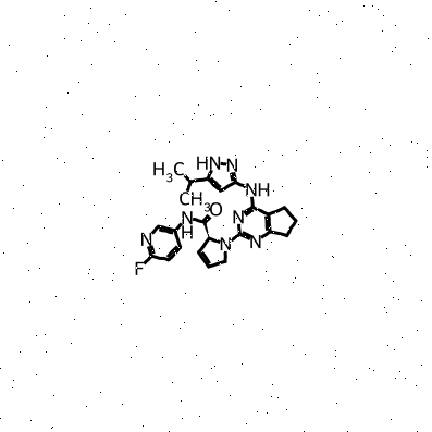 CC(C)c1cc(Nc2nc(N3CC=C[C@H]3C(=O)Nc3ccc(F)nc3)nc3c2CCC3)n[nH]1